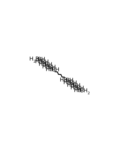 BBBBBBBBBBCCCCCCBBBBBBBBBB